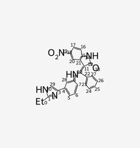 CCc1nc(-c2cccc(NC(=C3C(=O)Nc4ccc([N+](=O)[O-])cc43)c3ccccc3)c2)c[nH]1